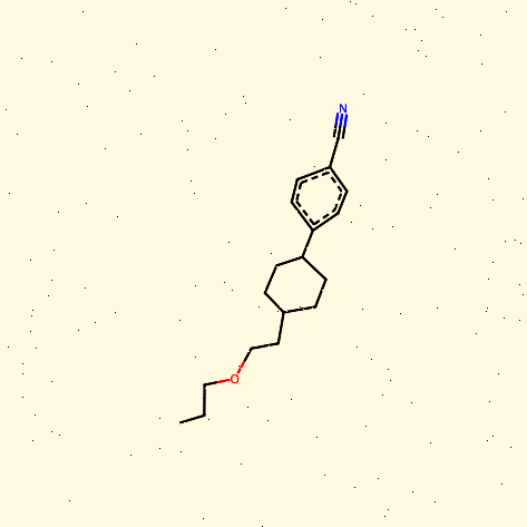 CCCOCCC1CCC(c2ccc(C#N)cc2)CC1